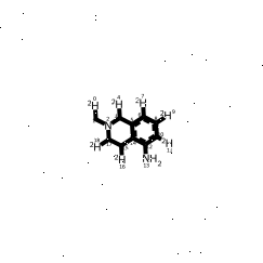 [2H]CN1C([2H])c2c([2H])c([2H])c([2H])c(N)c2C([2H])C1[2H]